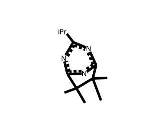 [CH2]C(C)c1nc2nc(n1)C(C)(C)C2(C)C